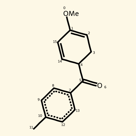 COC1=CCC(C(=O)c2ccc(C)cc2)C=C1